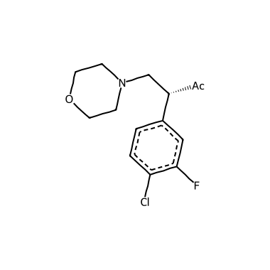 CC(=O)[C@@H](CN1CCOCC1)c1ccc(Cl)c(F)c1